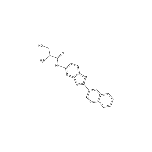 NC(CO)C(=O)Nc1ccc2oc(-c3ccc4ccccc4c3)nc2c1